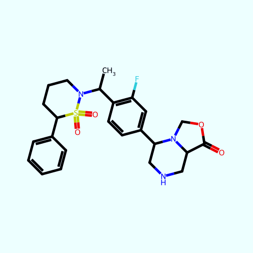 CC(c1ccc(C2CNCC3C(=O)OCN32)cc1F)N1CCCC(c2ccccc2)S1(=O)=O